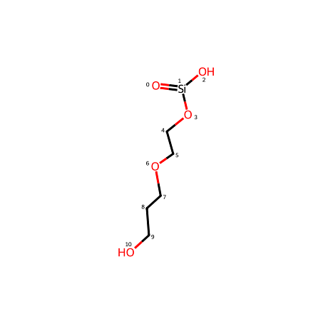 O=[Si](O)OCCOCCCO